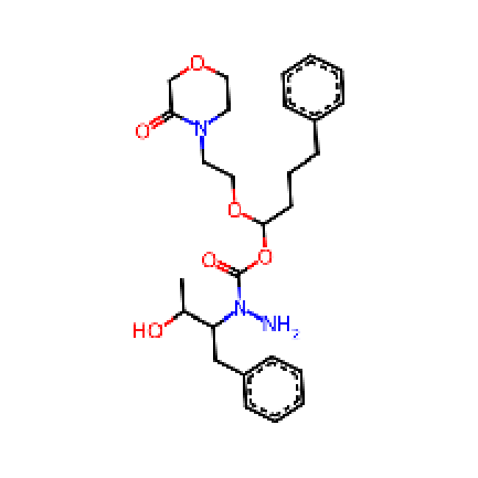 CC(O)C(Cc1ccccc1)N(N)C(=O)OC(CCCc1ccccc1)OCCN1CCOCC1=O